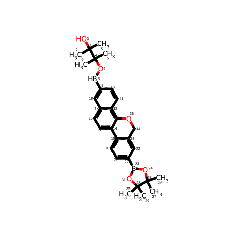 CC(C)(O)C(C)(C)OBc1ccc2c3c(ccc2c1)-c1ccc(B2OC(C)(C)C(C)(C)O2)cc1CO3